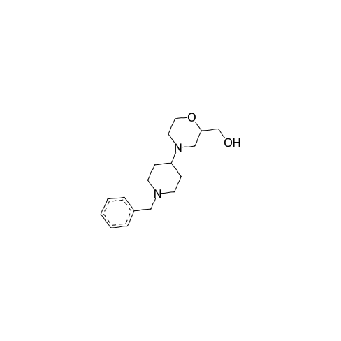 OCC1CN(C2CCN(Cc3ccccc3)CC2)CCO1